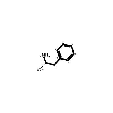 CC[C@H](N)[CH]c1ccccc1